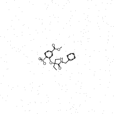 CCC(CC)(Oc1cc(C(=O)OC)ccc1[N+](=O)[O-])C(=O)NCc1ccccc1